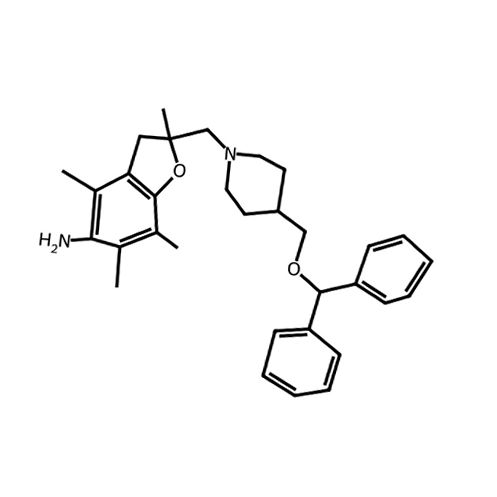 Cc1c(C)c2c(c(C)c1N)CC(C)(CN1CCC(COC(c3ccccc3)c3ccccc3)CC1)O2